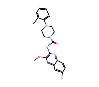 COc1nc2cc(Cl)ccc2nc1NC(=O)N1CCN(c2ccccc2C)CC1